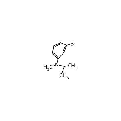 CC(C)N(C)c1cccc(Br)c1